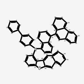 c1ccc(-c2ccc(N(c3cccc4c(-c5cc6ccccc6c6ccccc56)cccc34)c3cccc4oc5cc6ccccc6cc5c34)cc2)cc1